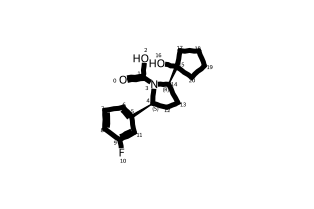 O=C(O)N1[C@H](c2cccc(F)c2)CC[C@@H]1C1(O)CCCC1